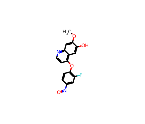 COc1cc2nccc(Oc3ccc(N=O)cc3F)c2cc1O